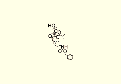 CC(C)C(=O)O[C@@H]1[C@@H](OC(C)(C)O)CO[C@@H]1CN1CCC(NC(=O)OCc2ccccc2)CC1